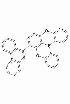 c1ccc2c(c1)Oc1ccc(-c3cc4ccccc4c4ccccc34)c3c1B2c1ccccc1O3